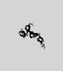 Cc1cnc(Nc2cc3cc(-c4cc(C)ncc4O[C@H]4C[C@H]5COC[C@@H](C4)N5C)ccn3n2)cn1